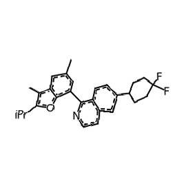 Cc1cc(-c2nccc3cc(C4CCC(F)(F)CC4)ccc23)c2oc(C(C)C)c(C)c2c1